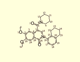 COc1cc2c(C(=O)N3CCCCC3)cn(-c3cccc4c3CCCC4)c(=O)c2cc1OC